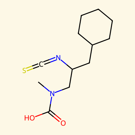 CN(CC(CC1CCCCC1)N=C=S)C(=O)O